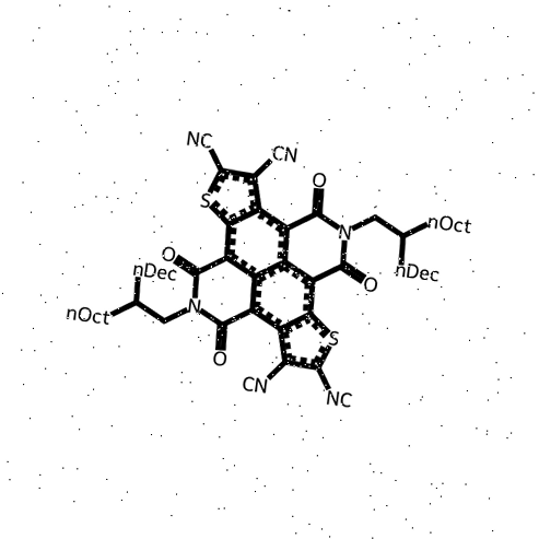 [C-]#[N+]c1sc2c3c4c(c5c(C#N)c(C#N)sc5c5c4c(c2c1[N+]#[C-])C(=O)N(CC(CCCCCCCC)CCCCCCCCCC)C5=O)C(=O)N(CC(CCCCCCCC)CCCCCCCCCC)C3=O